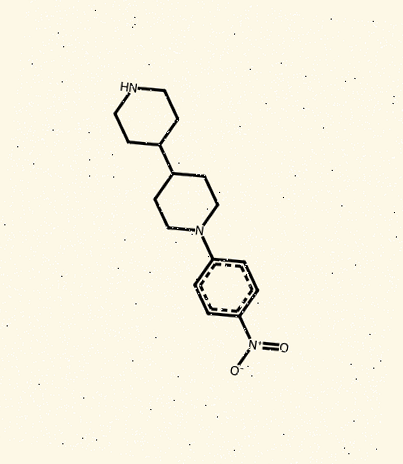 O=[N+]([O-])c1ccc(N2CCC(C3CCNCC3)CC2)cc1